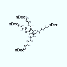 CCCCCCCCCCCCCCCCC[Si](CCCCCCCCCCCCCCCCC)(CCCCCCCCCCCCCCCCC)CCCCCCCCCCCCCCCCC